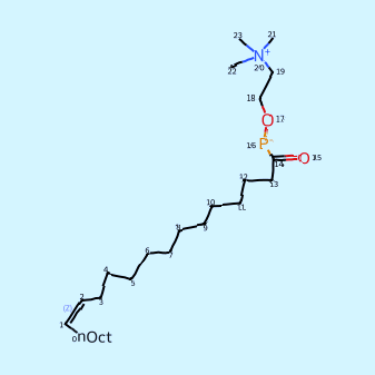 CCCCCCCC/C=C\CCCCCCCCCCCC(=O)[P-]OCC[N+](C)(C)C